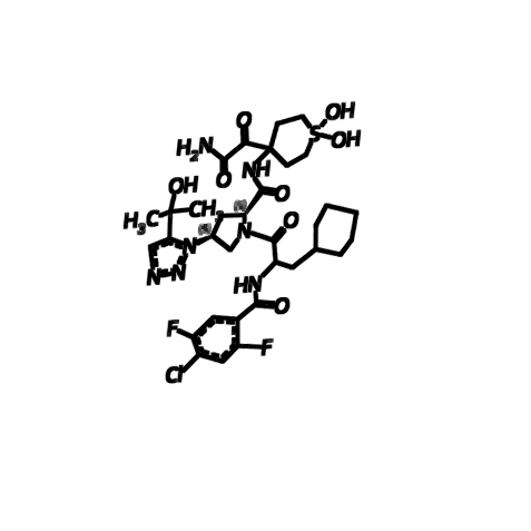 CC(C)(O)c1cnnn1[C@H]1C[C@@H](C(=O)NC2(C(=O)C(N)=O)CCS(O)(O)CC2)N(C(=O)C(CC2CCCCC2)NC(=O)c2cc(F)c(Cl)cc2F)C1